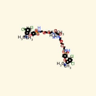 CN(C)C1Cc2c(Cl)cc(Cl)cc2[C@@H]1Oc1ccc(S(=O)(=O)NCCOCCOCCNC(=O)C(C)(C)C(=O)NCCOCCOCCNS(=O)(=O)c2ccc(O[C@H]3c4cc(Cl)cc(Cl)c4C[C@@H]3N(C)C)cc2)cc1